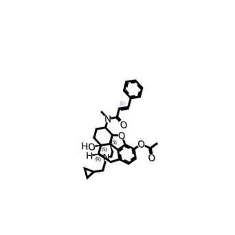 CC(=O)Oc1ccc2c3c1OC1C(N(C)C(=O)/C=C/c4ccccc4)CC[C@@]4(O)[C@@H](C2)N(CC2CC2)CC[C@]314